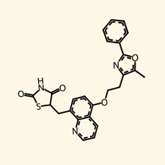 Cc1oc(-c2ccccc2)nc1CCOc1ccc(CC2SC(=O)NC2=O)c2ncccc12